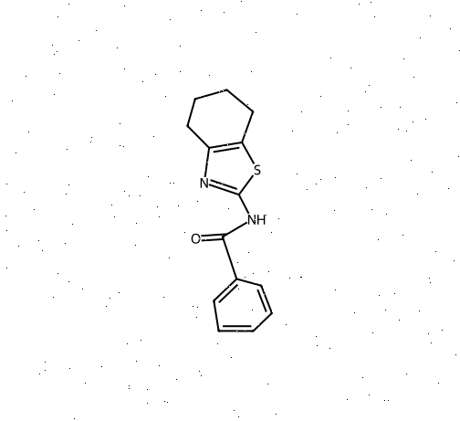 O=C(Nc1nc2c(s1)CCCC2)c1ccccc1